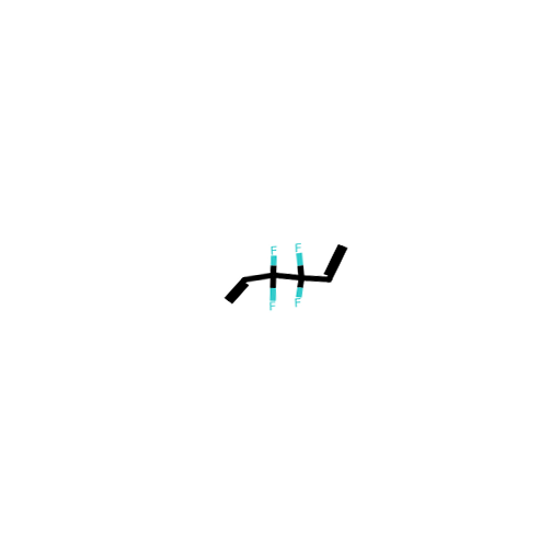 C=CC(F)(F)C(F)(F)C=C